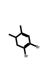 CC1=CC(Br)=C(Br)CC1C